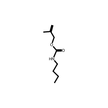 C=C(C)COC(=O)NCCCC